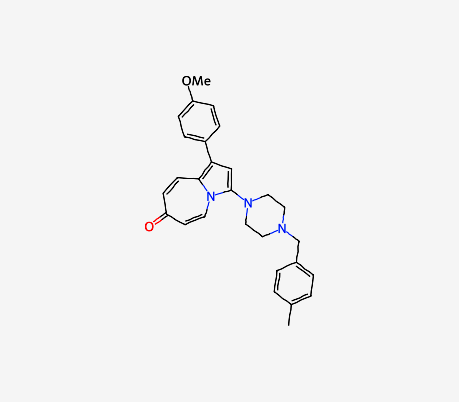 COc1ccc(-c2cc(N3CCN(Cc4ccc(C)cc4)CC3)n3ccc(=O)ccc23)cc1